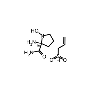 C=CC[SH](=O)=O.NC(=O)[C@@]1(N)CCCN1O